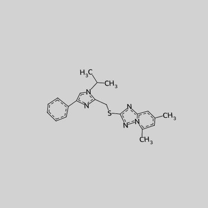 Cc1cc(C)n2nc(SCc3nc(-c4ccccc4)cn3C(C)C)nc2c1